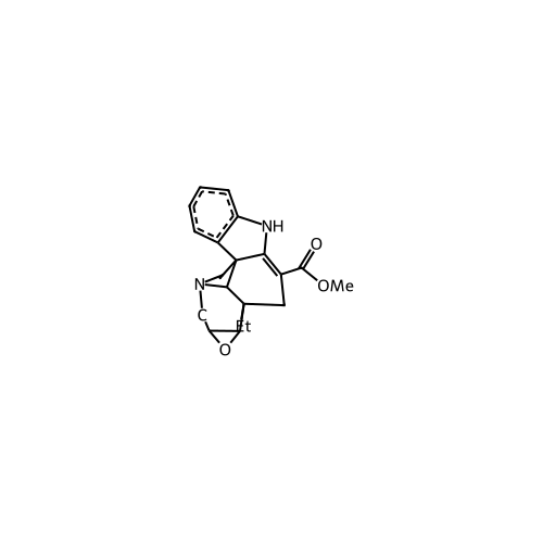 CCC12CC(C(=O)OC)=C3Nc4ccccc4C34CCN(CC3OC31)C42